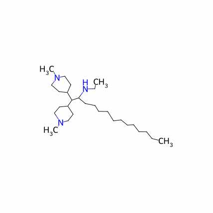 CCCCCCCCCCCCC(NCC)C(C1CCN(C)CC1)C1CCN(C)CC1